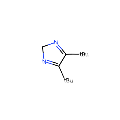 CC(C)(C)C1=NCN=C1C(C)(C)C